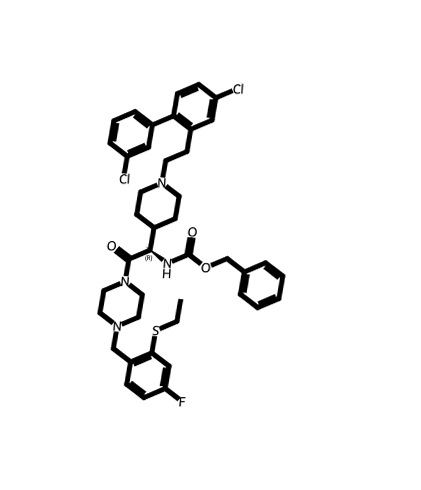 CCSc1cc(F)ccc1CN1CCN(C(=O)[C@H](NC(=O)OCc2ccccc2)C2CCN(CCc3cc(Cl)ccc3-c3cccc(Cl)c3)CC2)CC1